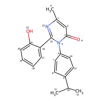 Cc1cc(=O)n(-c2ccc(C(C)C)cc2)c(-c2ccccc2O)n1